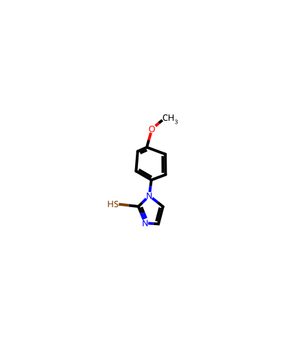 COc1ccc(-n2ccnc2S)cc1